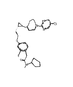 CN(C(=O)Cc1ccc(OCC[C@@H]2CC2C2CCN(c3ncc(Cl)cn3)CC2)cc1F)C1CCCC1